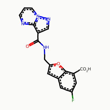 O=C(O)c1cc(F)cc2cc(CNC(=O)c3cnn4cccnc34)oc12